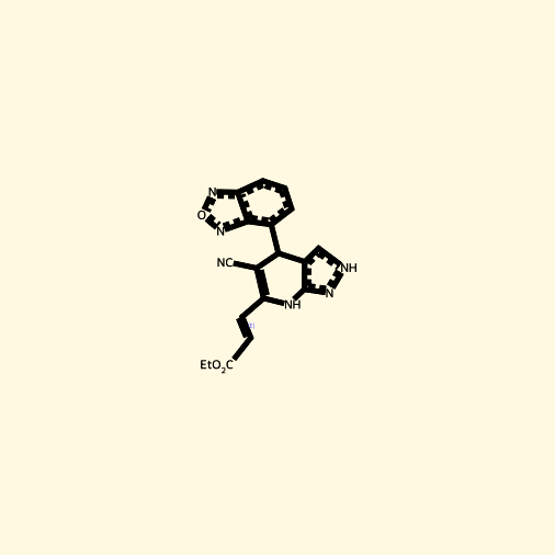 CCOC(=O)/C=C/C1=C(C#N)C(c2cccc3nonc23)c2c[nH]nc2N1